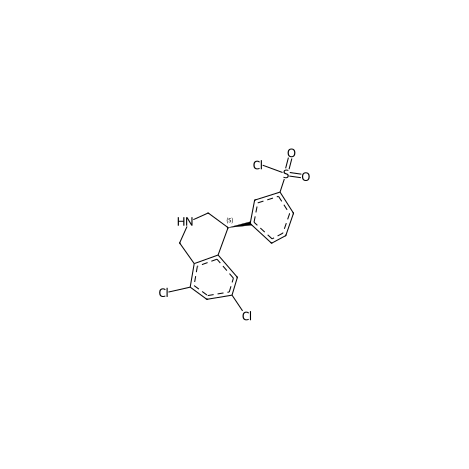 O=S(=O)(Cl)c1cccc([C@@H]2CNCc3c(Cl)cc(Cl)cc32)c1